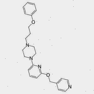 c1ccc(OCCCN2CCN(c3cccc(OCc4ccncc4)n3)CC2)cc1